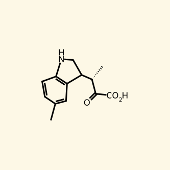 Cc1ccc2c(c1)C([C@H](C)C(=O)C(=O)O)CN2